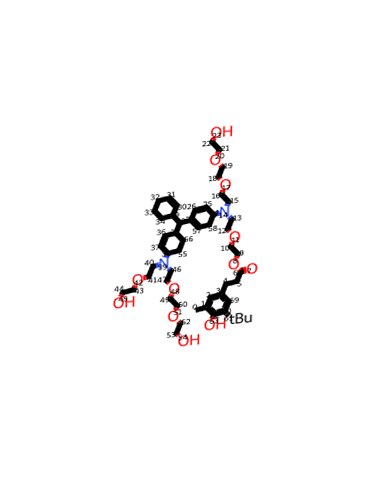 Cc1cc(CCC(=O)OCCOCCN(CCOCCOCCO)C2C=CC(C(C3C=CCCC3)C3C=CC(N(CCOCCO)CCOCCOCCO)CC3)=CC2)cc(C(C)(C)C)c1O